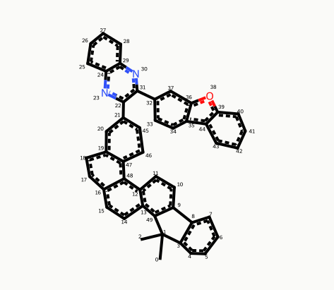 CC1(C)c2ccccc2-c2ccc3c(ccc4ccc5cc(-c6nc7ccccc7nc6-c6ccc7c(c6)oc6ccccc67)ccc5c43)c21